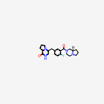 O=C(c1cc(Cc2c[nH]c(=O)c3cccn23)ccc1F)N1CCN2CCC[C@H]2C1